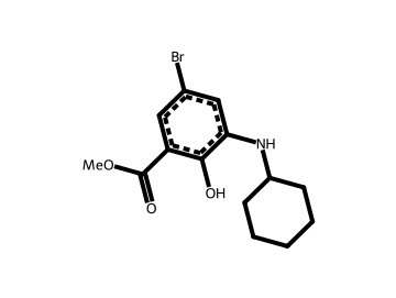 COC(=O)c1cc(Br)cc(NC2CCCCC2)c1O